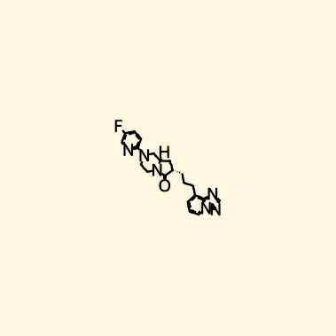 O=C1[C@@H](CCCc2cccn3ncnc23)C[C@H]2CN(c3ccc(F)cn3)CCN12